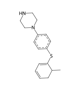 CC1CC=CC=C1Sc1ccc(N2CCNCC2)cc1